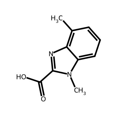 Cc1cccc2c1nc(C(=O)O)n2C